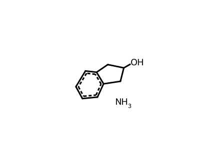 N.OC1Cc2ccccc2C1